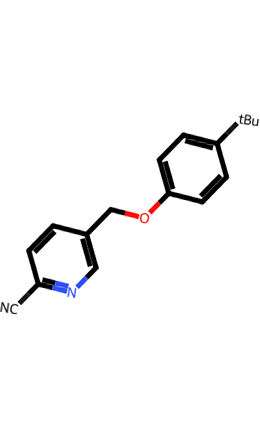 CC(C)(C)c1ccc(OCc2ccc(C#N)nc2)cc1